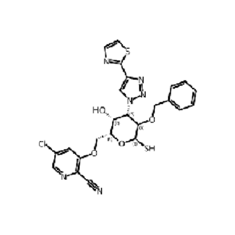 N#Cc1ncc(Cl)cc1OC[C@H]1O[C@H](S)[C@H](OCc2ccccc2)[C@@H](n2cc(-c3nccs3)nn2)[C@H]1O